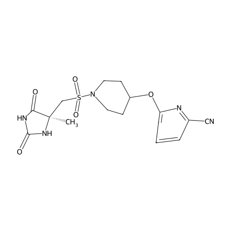 C[C@]1(CS(=O)(=O)N2CCC(Oc3cccc(C#N)n3)CC2)NC(=O)NC1=O